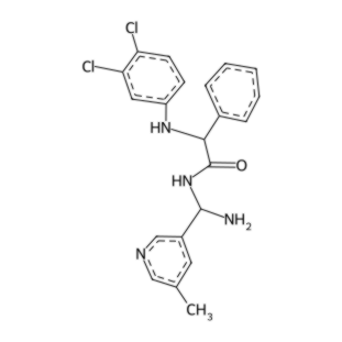 Cc1cncc(C(N)NC(=O)C(Nc2ccc(Cl)c(Cl)c2)c2ccccc2)c1